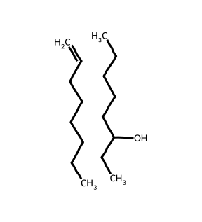 C=CCCCCCC.CCCCCC(O)CC